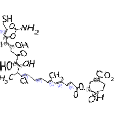 CC(/C=C/C=C/C(=O)OC[C@@H]1C[C@@H](C(=O)O)CC[C@@H]1O)=C\C=C\C=C(/Cl)C(C)[C@@H](O)[C@H](O)C(=O)C[C@@H](O)[C@H](Cl)[C@@H](/C=C/CS)OC(N)=O